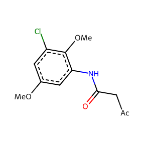 COc1cc(Cl)c(OC)c(NC(=O)CC(C)=O)c1